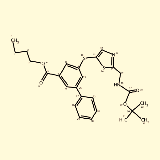 CCCCOC(=O)c1cc(Sc2cnc(CNC(=O)OC(C)(C)C)s2)cc(-c2ccccc2)c1